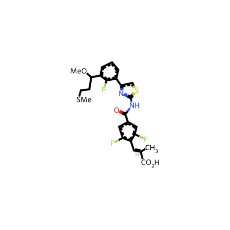 COC(CCSC)c1cccc(-c2csc(NC(=O)c3cc(F)c(/C=C(\C)C(=O)O)c(F)c3)n2)c1F